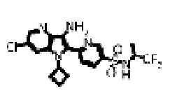 C[C@H](NS(=O)(=O)c1ccc(-c2c(N)c3ncc(Cl)cc3n2C2CCC2)nc1)C(F)(F)F